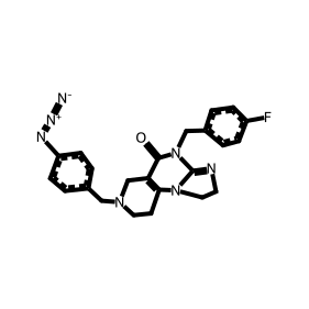 [N-]=[N+]=Nc1ccc(CN2CCC3=C(C2)C(=O)N(Cc2ccc(F)cc2)C2=NCCN23)cc1